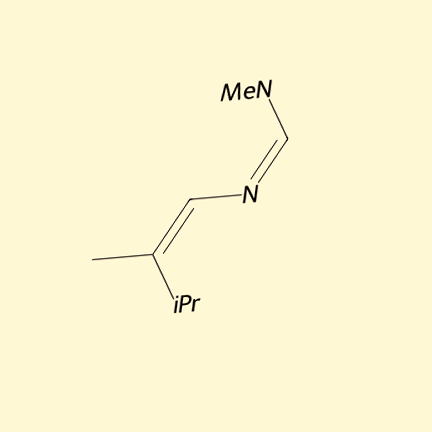 CN/C=N\C=C(\C)C(C)C